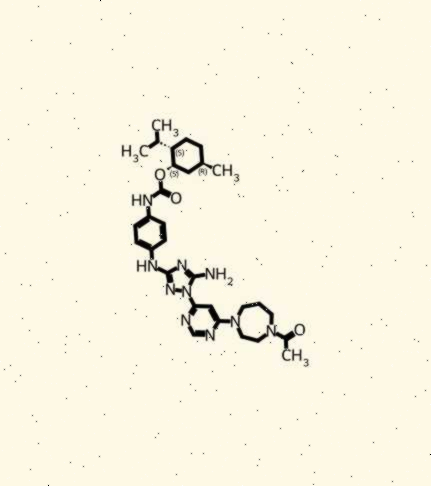 CC(=O)N1CCCN(c2cc(-n3nc(Nc4ccc(NC(=O)O[C@H]5C[C@H](C)CC[C@H]5C(C)C)cc4)nc3N)ncn2)CC1